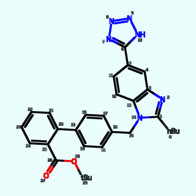 CCCCc1nc2cc(-c3nnn[nH]3)ccc2n1Cc1ccc(-c2ccccc2C(=O)OC(C)(C)C)cc1